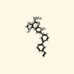 C=Cc1cccc(-c2cccc(-c3cc4c(nc(NC)c5ncn(C)c54)[nH]3)c2)c1